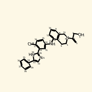 C=C(CO)N1CCc2c(cccc2Nc2ccc(Cl)c(-c3ncc(-c4ccccc4)[nH]3)c2)C1